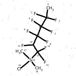 CC(F)(F)C(F)(F)C(F)(F)C(F)C(F)(F)[Si](C)(C)Cl